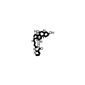 C[C@H](CCc1nc2ncccc2c(=O)[nH]1)[C@H]1CC[C@H]2[C@H]3C(C[C@H](O)[C@]12C)[C@@]1(C)CC[C@@H](O)C[C@H]1C[C@H]3O